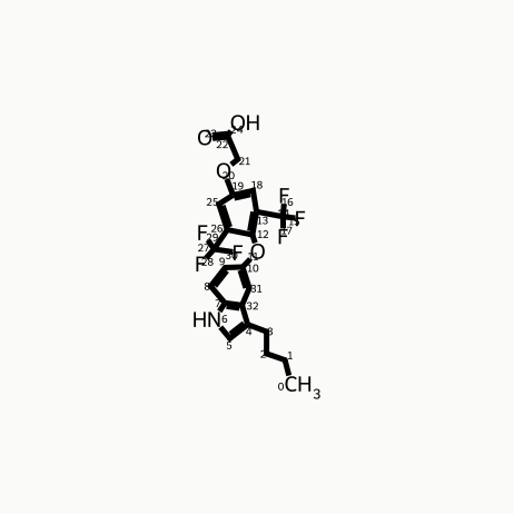 CCCCc1c[nH]c2ccc(Oc3c(C(F)(F)F)cc(OCC(=O)O)cc3C(F)(F)F)cc12